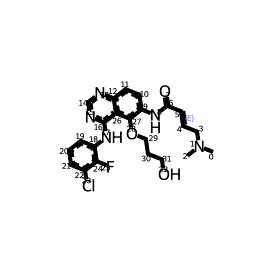 CN(C)C/C=C/C(=O)Nc1ccc2ncnc(Nc3cccc(Cl)c3F)c2c1OCCCO